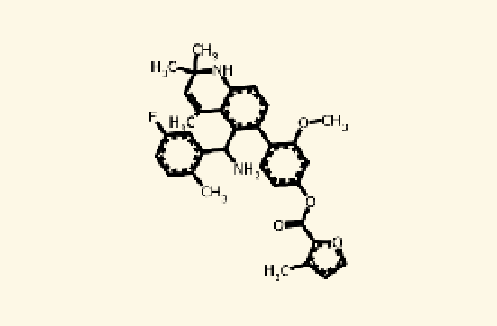 COc1cc(OC(=O)c2occc2C)ccc1-c1ccc2c(c1C(N)c1cc(F)ccc1C)C(C)=CC(C)(C)N2